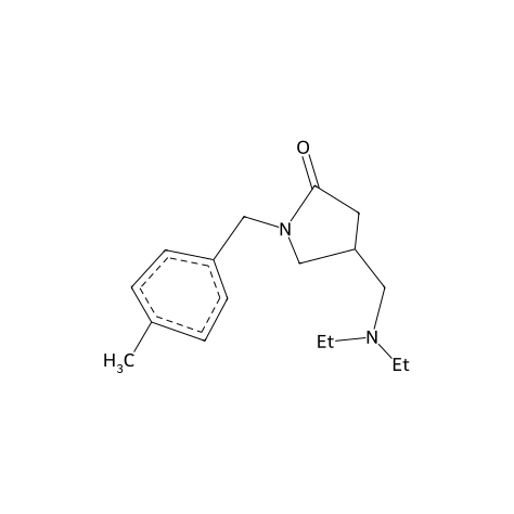 CCN(CC)CC1CC(=O)N(Cc2ccc(C)cc2)C1